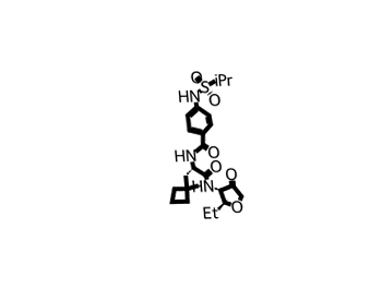 CC[C@@H]1OCC(=O)[C@H]1NC(=O)[C@H](CC1(C)CCC1)NC(=O)c1ccc(NS(=O)(=O)C(C)C)cc1